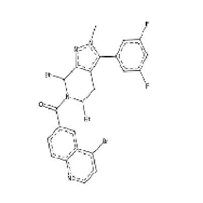 CCC1Cc2c(nn(C)c2-c2cc(F)cc(F)c2)C(CC)N1C(=O)c1ccc2nccc(Br)c2c1